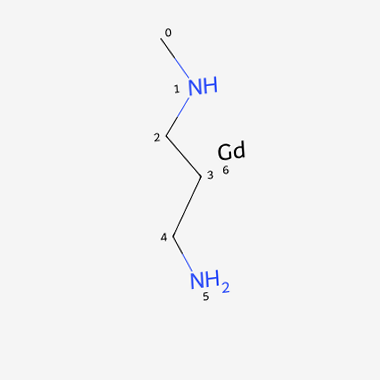 CNCCCN.[Gd]